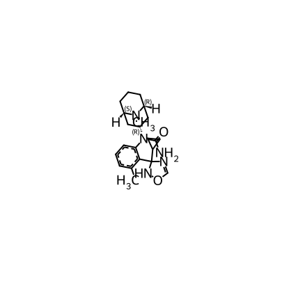 Cc1cccc(N(C(N)=O)[C@H]2C[C@H]3CCC[C@@H](C2)N3C)c1C1(C2CC2)N=CON1